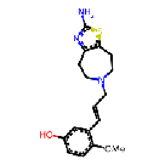 COc1ccc(O)cc1/C=C/CN1CCc2nc(N)sc2CC1